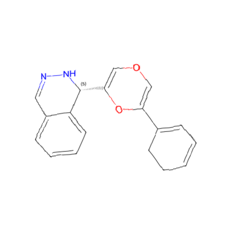 C1=CCCC(C2=COC=C([C@H]3NN=Cc4ccccc43)O2)=C1